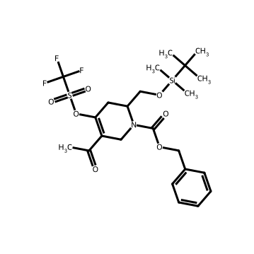 CC(=O)C1=C(OS(=O)(=O)C(F)(F)F)CC(CO[Si](C)(C)C(C)(C)C)N(C(=O)OCc2ccccc2)C1